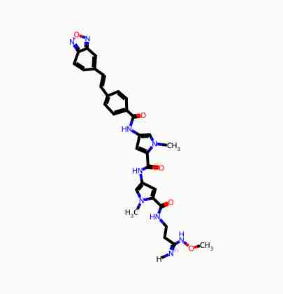 [H]/N=C(\CCNC(=O)c1cc(NC(=O)c2cc(NC(=O)c3ccc(C=Cc4ccc5nonc5c4)cc3)cn2C)cn1C)NOC